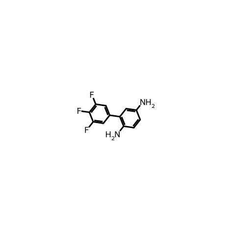 Nc1ccc(N)c(-c2cc(F)c(F)c(F)c2)c1